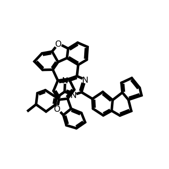 CC1C=CC(c2nc(-c3ccc4ccc5ccccc5c4c3)nc(-c3cccc4oc5cccc(-c6ccc7c(c6)oc6ccccc67)c5c34)n2)=CC1